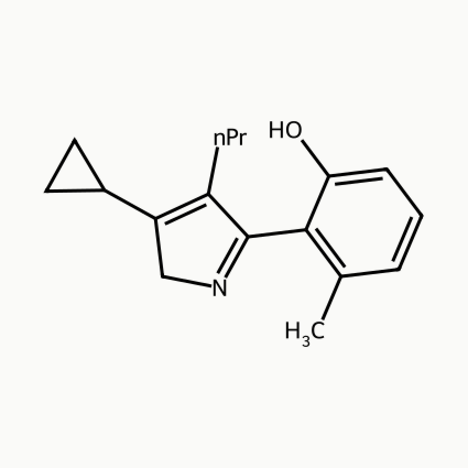 CCCC1=C(C2CC2)CN=C1c1c(C)cccc1O